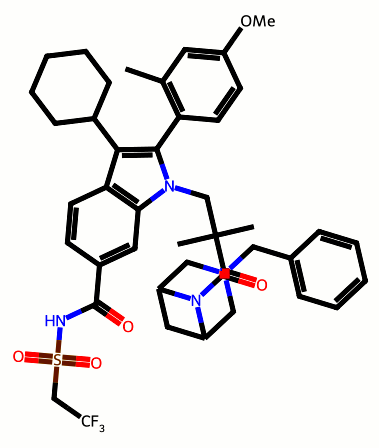 COc1ccc(-c2c(C3CCCCC3)c3ccc(C(=O)NS(=O)(=O)CC(F)(F)F)cc3n2CC(C)(C)C(=O)N2C3CC2CN(Cc2ccccc2)C3)c(C)c1